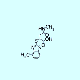 CNC(=O)CC(Sc1nc2c(C)cccc2s1)C(=O)O